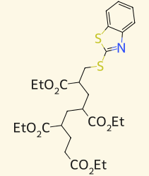 CCOC(=O)CCC(CC(CC(CSc1nc2ccccc2s1)C(=O)OCC)C(=O)OCC)C(=O)OCC